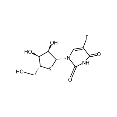 O=c1[nH]c(=O)n([C@@H]2S[C@H](CO)[C@@H](O)[C@H]2O)cc1F